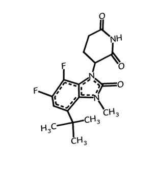 Cn1c(=O)n(C2CCC(=O)NC2=O)c2c(F)c(F)cc(C(C)(C)C)c21